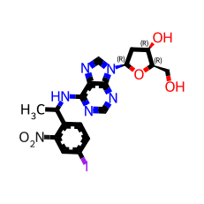 CC(Nc1ncnc2c1ncn2[C@H]1C[C@@H](O)[C@@H](CO)O1)c1ccc(I)cc1[N+](=O)[O-]